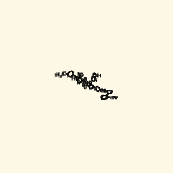 CC1CCC(CNc2ncc(S(=O)(=O)NC(=O)c3ccc(N4CCC5(CC4)CN(C4CCCC4c4ccccc4C(C)C)C5)cc3Oc3cnc4[nH]ccc4c3)cc2N=O)CC1